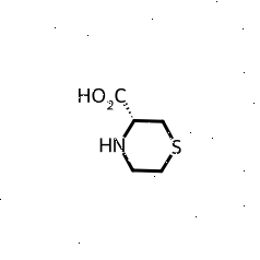 O=C(O)[C@@H]1CSCCN1